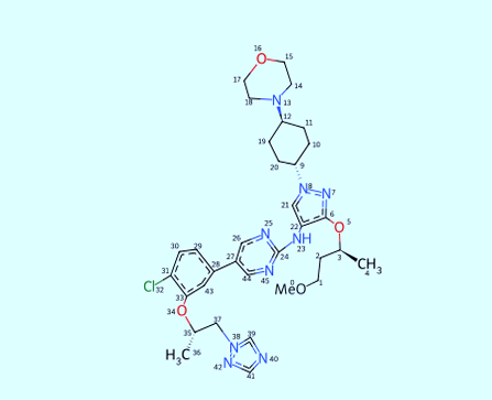 COCC[C@H](C)Oc1nn([C@H]2CC[C@H](N3CCOCC3)CC2)cc1Nc1ncc(-c2ccc(Cl)c(O[C@@H](C)Cn3cncn3)c2)cn1